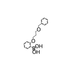 OB(O)c1ccccc1OCCCOCc1ccccc1